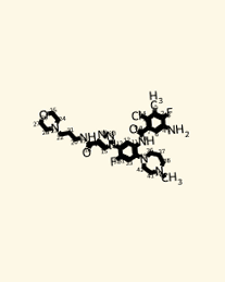 Cc1c(F)c(N)cc(C(=O)Nc2cc(-n3cc(C(=O)NCCCN4CCOCC4)nn3)c(F)cc2N2CCCN(C)CC2)c1Cl